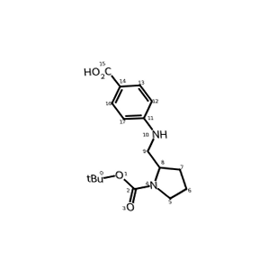 CC(C)(C)OC(=O)N1CCCC1CNc1ccc(C(=O)O)cc1